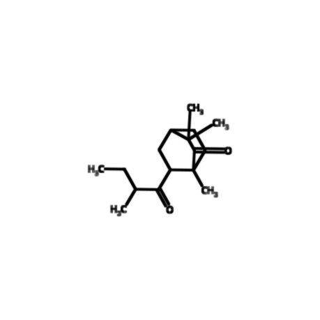 CCC(C)C(=O)C1CC2CCC1(C)C(=O)C2(C)C